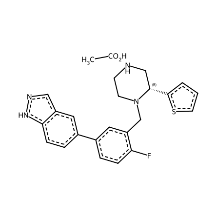 CC(=O)O.Fc1ccc(-c2ccc3[nH]ncc3c2)cc1CN1CCNC[C@@H]1c1cccs1